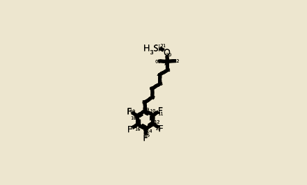 CC(C)(CCCCCCc1c(F)c(F)c(F)c(F)c1F)O[SiH3]